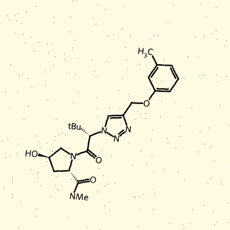 CNC(=O)[C@@H]1C[C@@H](O)CN1C(=O)[C@@H](n1cc(COc2cccc(C)c2)nn1)C(C)(C)C